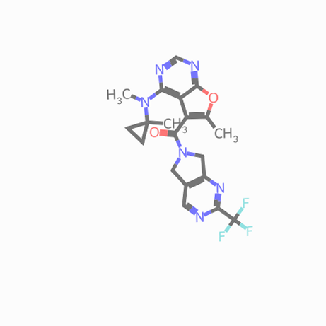 Cc1oc2ncnc(N(C)C3(C)CC3)c2c1C(=O)N1Cc2cnc(C(F)(F)F)nc2C1